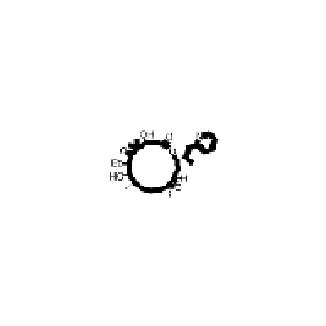 CC[C@H]1C(=O)C(C)(C)[C@@H](O)CC(=O)O[C@H](C(C)=Cc2ccccn2)C[C@H]2O[C@@]2(C)CCC[C@H](C)[C@@H]1O